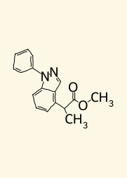 COC(=O)C(C)c1cccc2c1cnn2-c1ccccc1